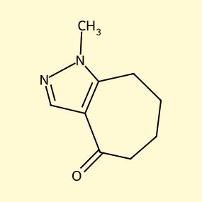 Cn1ncc2c1CCCCC2=O